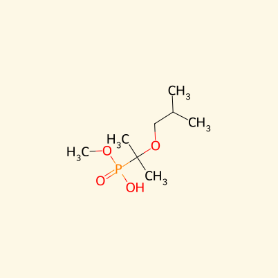 COP(=O)(O)C(C)(C)OCC(C)C